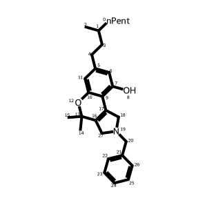 CCCCCC(C)CCc1cc(O)c2c(c1)OC(C)(C)C1=C2CN(Cc2ccccc2)C1